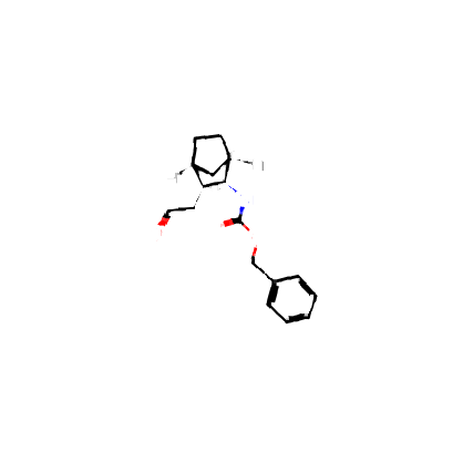 O=CC[C@H]1[C@@H]2CC[C@@H](C2)[C@H]1NC(=O)OCc1ccccc1